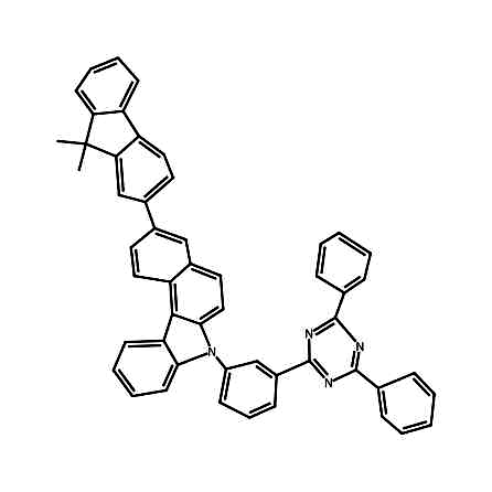 CC1(C)c2ccccc2-c2ccc(-c3ccc4c(ccc5c4c4ccccc4n5-c4cccc(-c5nc(-c6ccccc6)nc(-c6ccccc6)n5)c4)c3)cc21